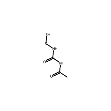 CC(=O)NC(=O)NSS